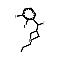 CCCN1CC(C(F)c2cccc(F)c2F)C1